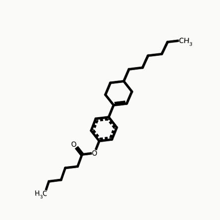 CCCCCCC1CC=C(c2ccc(OC(=O)CCCCC)cc2)CC1